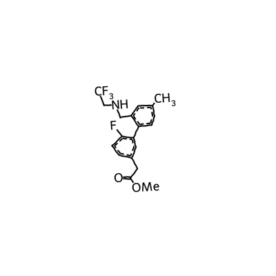 COC(=O)Cc1ccc(F)c(-c2ccc(C)cc2CNCC(F)(F)F)c1